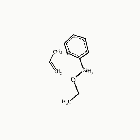 C=CC.CCO[SiH2]c1ccccc1